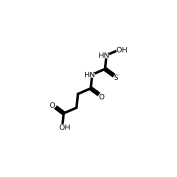 O=C(O)CCC(=O)NC(=S)NO